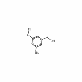 CCOc1cc([CH]O)cc(C(C)(C)C)c1